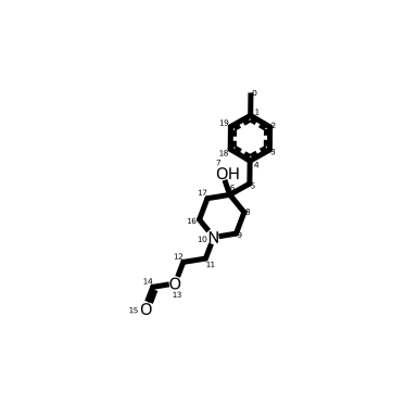 Cc1ccc(CC2(O)CCN(CCOC=O)CC2)cc1